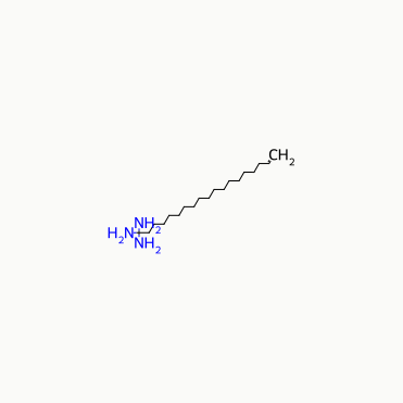 C=CCCCCCCCCCCCCCCCCC(N)(N)N